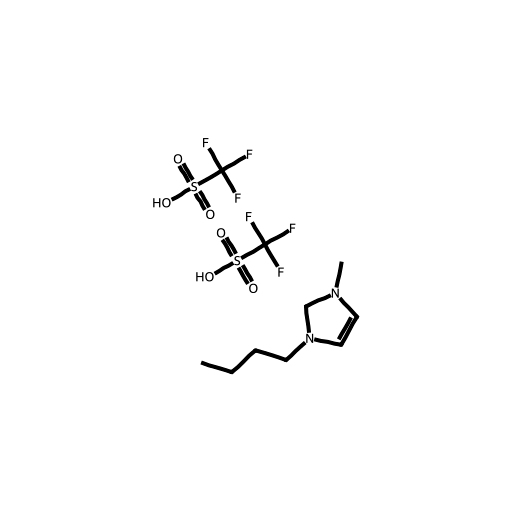 CCCCN1C=CN(C)C1.O=S(=O)(O)C(F)(F)F.O=S(=O)(O)C(F)(F)F